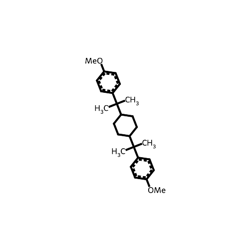 COc1ccc(C(C)(C)C2CCC(C(C)(C)c3ccc(OC)cc3)CC2)cc1